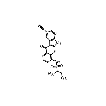 CCC(C)S(=O)(=O)Nc1cccc(C(=O)c2c[nH]c3ncc(C#N)cc23)c1F